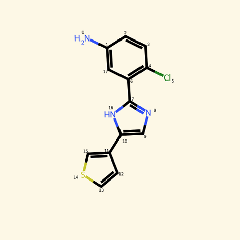 Nc1ccc(Cl)c(-c2ncc(-c3ccsc3)[nH]2)c1